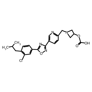 CC(C)Cc1ccc(-c2nc(-c3ccc(CN4CC(OC(=O)O)C4)nc3)no2)cc1Cl